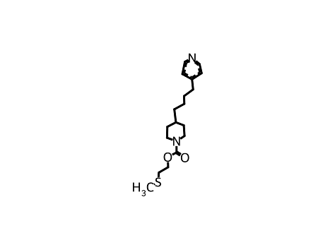 CSCCOC(=O)N1CCC(CCCCc2ccncc2)CC1